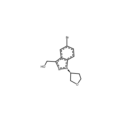 OCc1nn([C@H]2CCOC2)c2ccc(Br)cc12